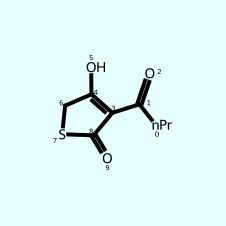 CCCC(=O)C1=C(O)CSC1=O